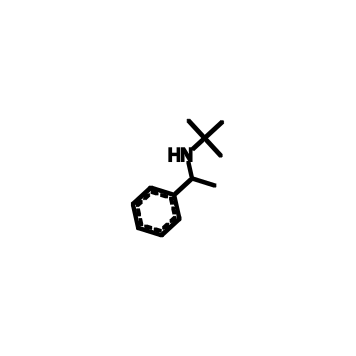 CC(NC(C)(C)C)c1ccccc1